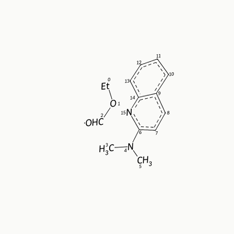 CCO[C]=O.CN(C)c1ccc2ccccc2n1